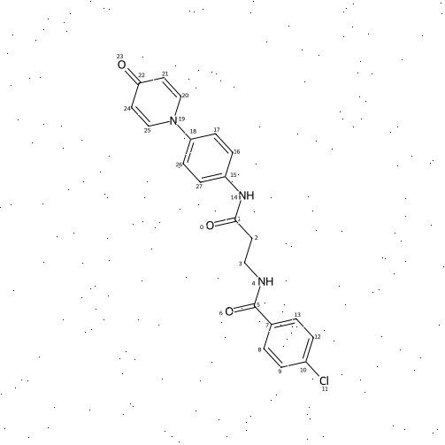 O=C(CCNC(=O)c1ccc(Cl)cc1)Nc1ccc(-n2ccc(=O)cc2)cc1